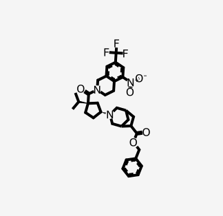 CC(C)[C@]1(C(=O)N2CCc3c(cc(C(F)(F)F)cc3[N+](=O)[O-])C2)CC[C@@H](N2CC3CC(C2)C(C(=O)OCc2ccccc2)C3)C1